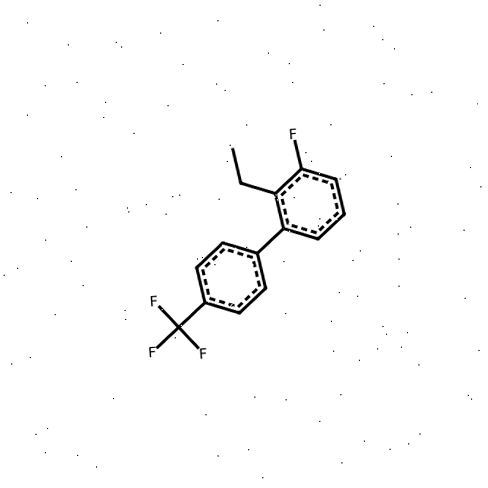 CCc1c(F)[c]ccc1-c1ccc(C(F)(F)F)cc1